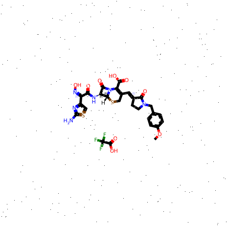 COc1ccc(CN2CC/C(=C\C3=C(C(=O)O)N4C(=O)[C@@H](NC(=O)/C(=N\O)c5csc(N)n5)[C@H]4SC3)C2=O)cc1.O=C(O)C(F)(F)F